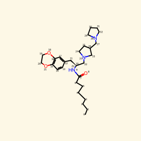 CCCCCCCC(=O)N[C@@H](Cc1ccc2c(c1)OCCO2)CN1CCC(CN2CCCC2)C1